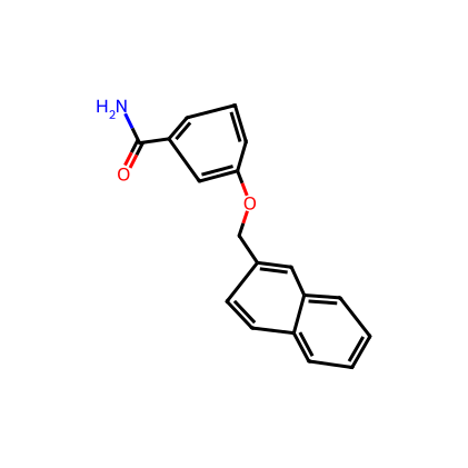 NC(=O)c1cccc(OCc2ccc3ccccc3c2)c1